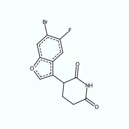 O=C1CCC(c2coc3cc(Br)c(F)cc23)C(=O)N1